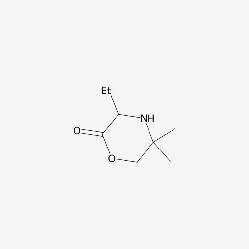 CCC1NC(C)(C)COC1=O